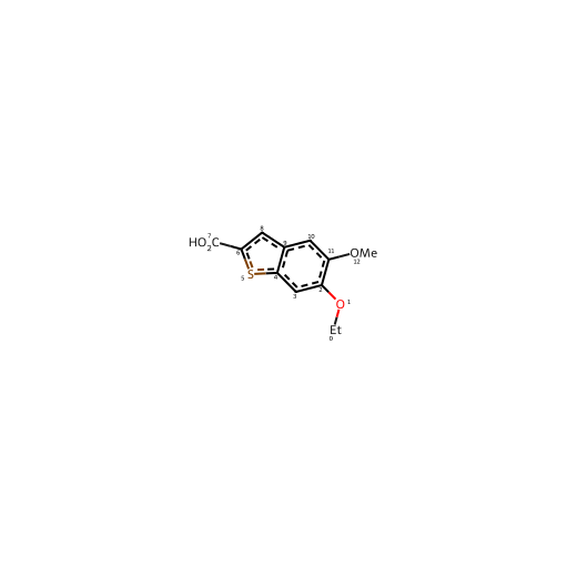 CCOc1cc2sc(C(=O)O)cc2cc1OC